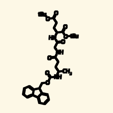 CC(CCC(=O)NCC(=O)NC(CCC(=O)OC(C)(C)C)C(=O)OC(C)(C)C)NC(=O)OCC1c2ccccc2-c2ccccc21